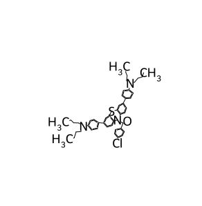 CCCCN(CCCC)c1ccc(-c2ccc3c(c2)Sc2cc(-c4ccc(N(CCCC)CCCC)cc4)ccc2N3C(=O)c2ccc(Cl)cc2)cc1